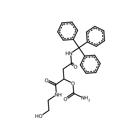 NC(=O)OC(CC(=O)NC(c1ccccc1)(c1ccccc1)c1ccccc1)C(=O)NCCO